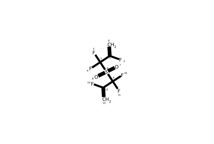 C=C(F)C(F)(F)S(=O)(=O)C(F)(F)C(=C)F